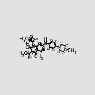 CC(=O)c1c(C)c2cnc(Nc3ccc(N4CCN(C)CC4)cc3)nc2n(C23CC(C2)[C@H]3C)c1=O